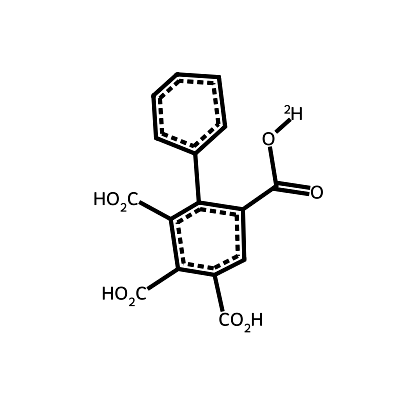 [2H]OC(=O)c1cc(C(=O)O)c(C(=O)O)c(C(=O)O)c1-c1ccccc1